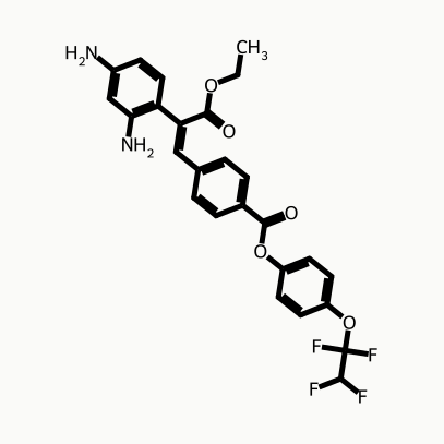 CCOC(=O)C(=Cc1ccc(C(=O)Oc2ccc(OC(F)(F)C(F)F)cc2)cc1)c1ccc(N)cc1N